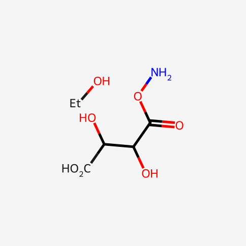 CCO.NOC(=O)C(O)C(O)C(=O)O